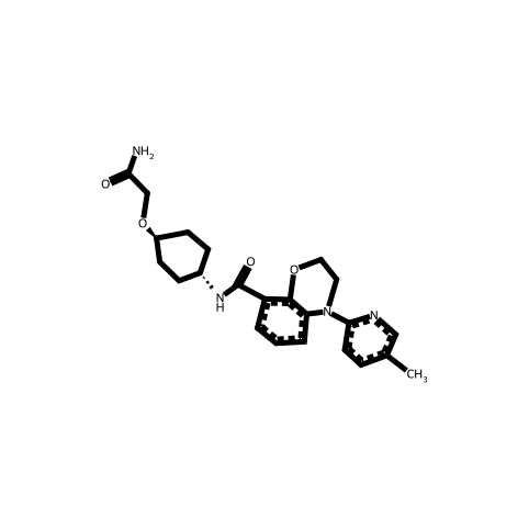 Cc1ccc(N2CCOc3c(C(=O)N[C@H]4CC[C@H](OCC(N)=O)CC4)cccc32)nc1